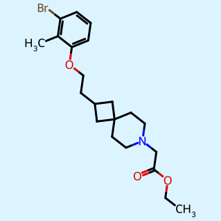 CCOC(=O)CN1CCC2(CC1)CC(CCOc1cccc(Br)c1C)C2